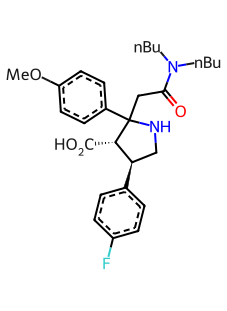 CCCCN(CCCC)C(=O)CC1(c2ccc(OC)cc2)NC[C@@H](c2ccc(F)cc2)[C@@H]1C(=O)O